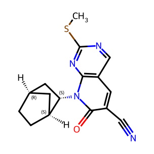 CSc1ncc2cc(C#N)c(=O)n([C@H]3C[C@@H]4CC[C@H]3C4)c2n1